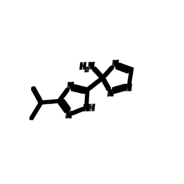 CC(C)c1n[nH]c(C2(N)N=CN=N2)n1